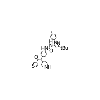 Cc1ccc(-n2nc(C(C)(C)C)cc2NC(=O)Nc2ccc(C(C(=O)c3ccsc3)C3CCNCC3)cc2)cc1